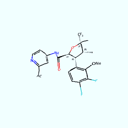 COc1c([C@@H]2[C@@H](C(=O)Nc3ccnc(C(C)=O)c3)O[C@](C)(C(F)(F)F)[C@@H]2C)ccc(F)c1F